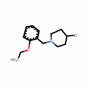 CCC1CCN(Cc2ccccc2OCC(=O)O)CC1